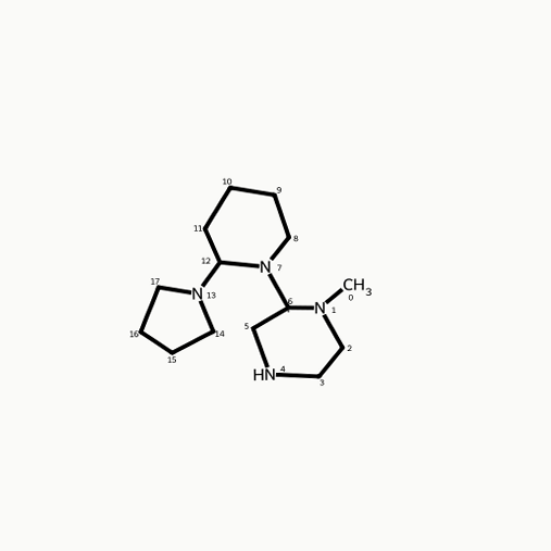 CN1CCNC[C]1N1CCCCC1N1CCCC1